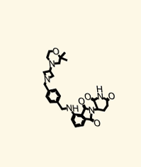 CC1(C)CN(C2CN(Cc3ccc(CNc4cccc5c4C(=O)N(C4CCC(=O)NC4=O)C5=O)cc3)C2)CCO1